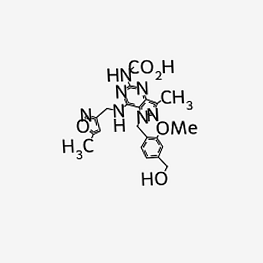 COc1cc(CO)ccc1Cn1nc(C)c2nc(NC(=O)O)nc(NCc3cc(C)on3)c21